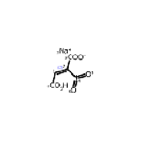 O=C(O)/C=C(/C(=O)[O-])I(=O)=O.[Na+]